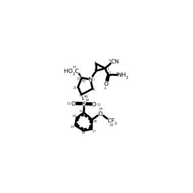 N#CC1(C(N)=O)CC1N1C[C@H](S(=O)(=O)c2ccccc2OC(F)(F)F)C[C@H]1C(=O)O